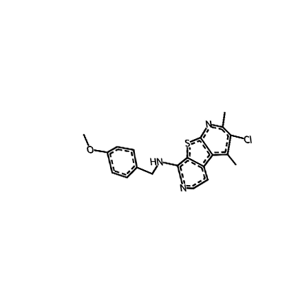 COc1ccc(CNc2nccc3c2sc2nc(C)c(Cl)c(C)c23)cc1